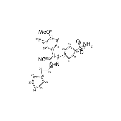 COc1ccc(-c2c(-c3ccc(S(N)(=O)=O)cc3)nn(CCc3ccccc3)c2C#N)cc1F